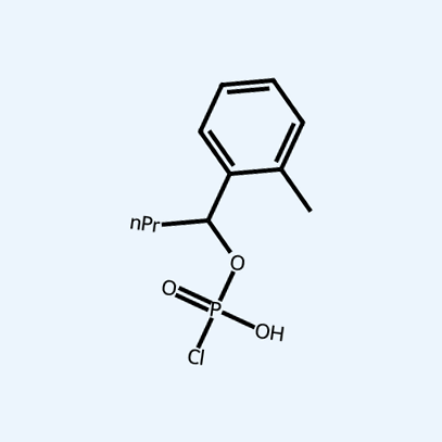 CCCC(OP(=O)(O)Cl)c1ccccc1C